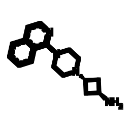 N[C@H]1C[C@H](N2CCN(c3nccc4ccccc34)CC2)C1